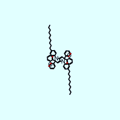 CCCCCCCCCCc1ccc(N2C3=CC(c4ccccc4)(c4ccccc4OC)N(c4ccc(CCCCCCCCCC)cc4)C3=CC2(c2ccccc2)c2ccccc2OC)cc1